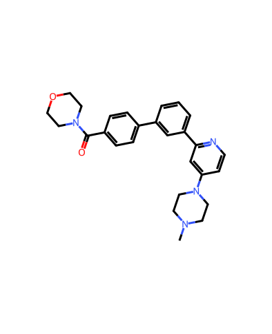 CN1CCN(c2ccnc(-c3cccc(-c4ccc(C(=O)N5CCOCC5)cc4)c3)c2)CC1